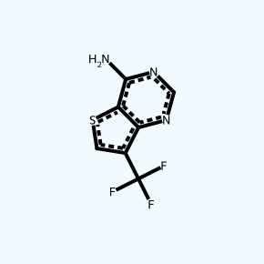 Nc1ncnc2c(C(F)(F)F)csc12